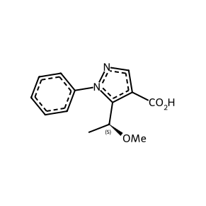 CO[C@@H](C)c1c(C(=O)O)cnn1-c1ccccc1